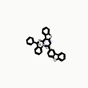 C\C=C(/C=c1/sc2ccccc2/c1=C1\N=C(c2ccccc2)c2ccccc2N1C)c1ccc2oc3ccccc3c2c1